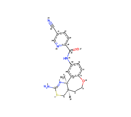 C[C@@]12N=C(N)SC[C@@H]1CCOc1ccc(NC(=O)c3ccc(C#N)cn3)cc12